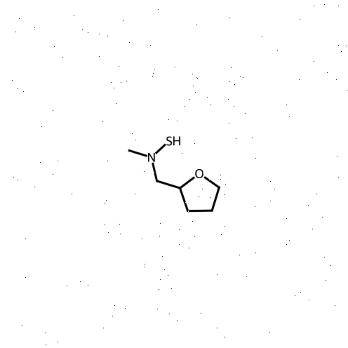 CN(S)CC1CCCO1